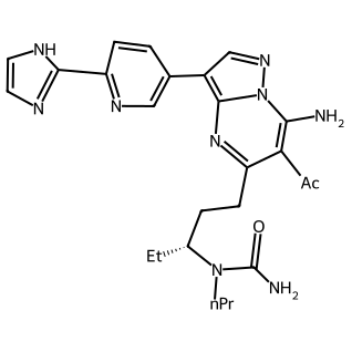 CCCN(C(N)=O)[C@H](CC)CCc1nc2c(-c3ccc(-c4ncc[nH]4)nc3)cnn2c(N)c1C(C)=O